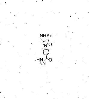 CC(=O)NC[C@H]1CN(c2ccc(C(=O)c3ncc[nH]3)cc2)C(=O)O1